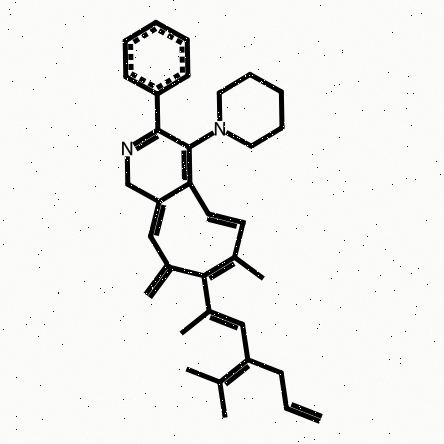 C=CCC(/C=C(C)/C1=C(C)/C=C/C2=C(N3CCCCC3)C(c3ccccc3)=NC/C2=C/C1=C)=C(C)C